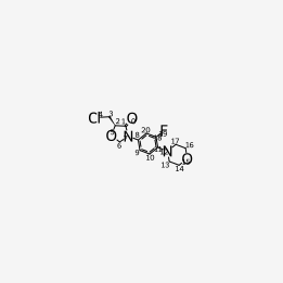 O=C1[C@H](CCl)OCN1c1ccc(N2CCOCC2)c(F)c1